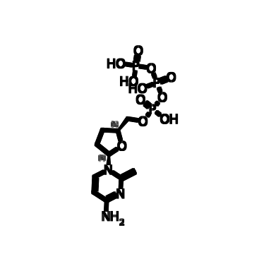 C=C1N=C(N)C=CN1[C@H]1CC[C@@H](COP(=O)(O)OP(=O)(O)OP(=O)(O)O)O1